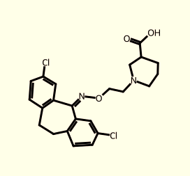 O=C(O)C1CCCN(CCON=C2c3cc(Cl)ccc3CCc3ccc(Cl)cc32)C1